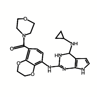 O=C(c1ccc(NC2=Nc3[nH]ccc3C(NC3CC3)N2)c2c1OCCO2)N1CCOCC1